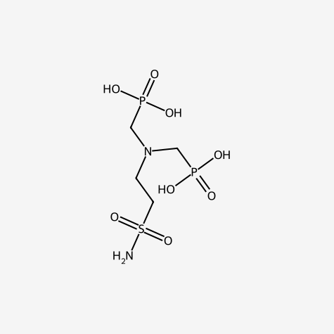 NS(=O)(=O)CCN(CP(=O)(O)O)CP(=O)(O)O